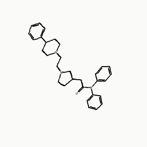 O=C(CC1CCN(CCN2CCC(c3ccccc3)CC2)C1)N(c1ccccc1)c1ccccc1